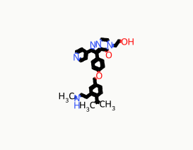 CNCCc1cc(COc2ccc(-c3c(-c4ccncc4)nn4c3C(=O)N(CCO)CC4)cc2)ccc1C(C)C